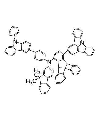 CC1(C)c2ccccc2-c2ccc(N(c3ccc(-c4ccc5c(c4)c4ccccc4n5-c4ccccc4)cc3)c3ccc(-c4cc5c6ccccc6n6c7ccccc7c(c4)c56)c4c3C3c5ccccc5C35c3ccccc3C45)cc21